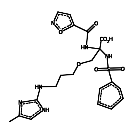 Cc1c[nH]c(NCCCOCC(NC(=O)c2ccno2)(NS(=O)(=O)c2ccccc2)C(=O)O)n1